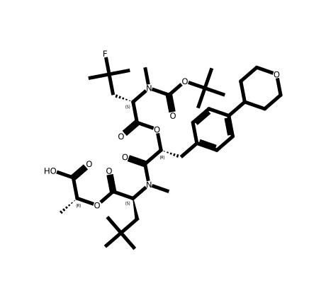 C[C@@H](OC(=O)[C@H](CC(C)(C)C)N(C)C(=O)[C@@H](Cc1ccc(C2CCOCC2)cc1)OC(=O)[C@H](CC(C)(C)F)N(C)C(=O)OC(C)(C)C)C(=O)O